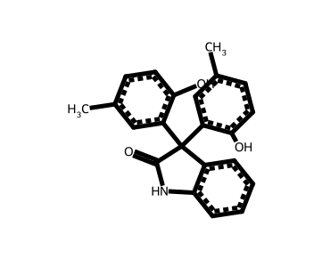 Cc1ccc(O)c(C2(c3cc(C)ccc3O)C(=O)Nc3ccccc32)c1